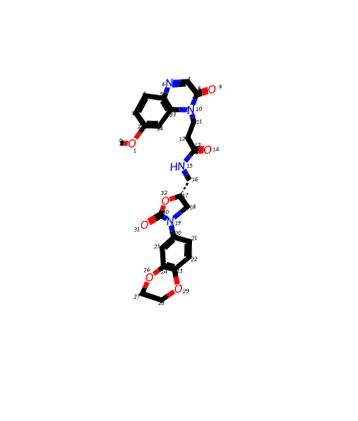 COc1ccc2ncc(=O)n(CCC(=O)NC[C@@H]3CN(c4ccc5c(c4)OCCO5)C(=O)O3)c2c1